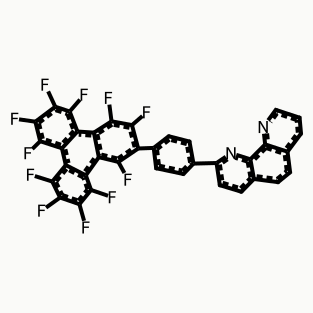 Fc1c(F)c(F)c2c(c1F)c1c(F)c(F)c(F)c(F)c1c1c(F)c(-c3ccc(-c4ccc5ccc6cccnc6c5n4)cc3)c(F)c(F)c21